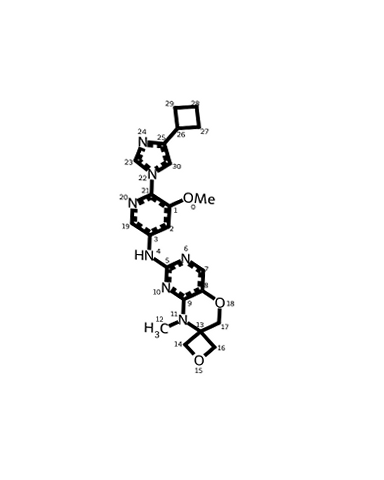 COc1cc(Nc2ncc3c(n2)N(C)C2(COC2)CO3)cnc1-n1cnc(C2CCC2)c1